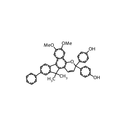 COc1cc2c3c(c4c(c2cc1OC)-c1ccc(-c2ccccc2)cc1C4(C)C)C=CC(c1ccc(O)cc1)(c1ccc(O)cc1)O3